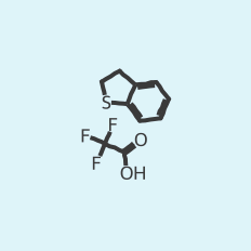 O=C(O)C(F)(F)F.c1ccc2c(c1)CCS2